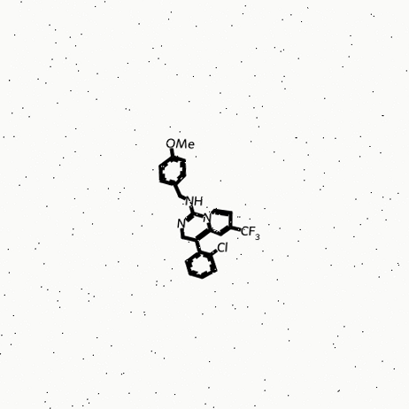 COc1ccc(CNC2=NCC(c3ccccc3Cl)=C3C=C(C(F)(F)F)C=CN23)cc1